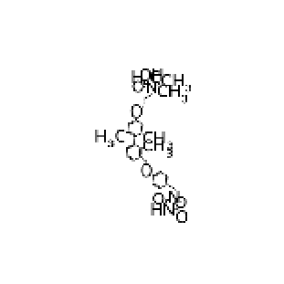 Cc1cc(OCCCN(C(=O)O)C(C)(C)C)cc(C)c1-c1cccc(COc2ccc(Cn3oc(=O)[nH]c3=O)cc2)c1C